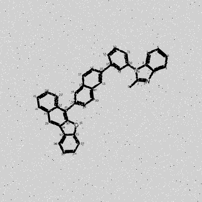 Cc1nc2ccccc2n1-c1cccc(-c2ccc3cc(-c4c5ccccc5cc5c4oc4ccccc45)ccc3c2)c1